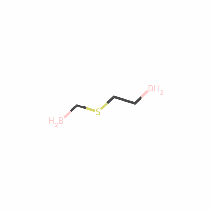 BCCSCB